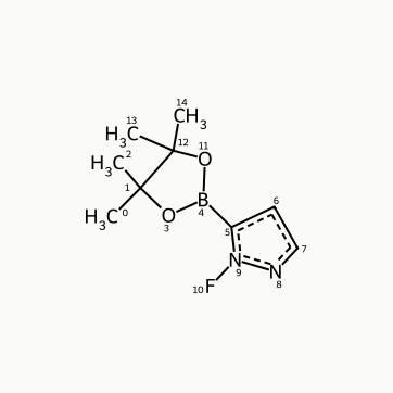 CC1(C)OB(c2ccnn2F)OC1(C)C